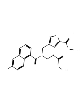 CCCCOC(=O)CCN(Cc1csc(C(=O)OCCCC)c1)C(=O)c1cccc2cc(O)ccc12